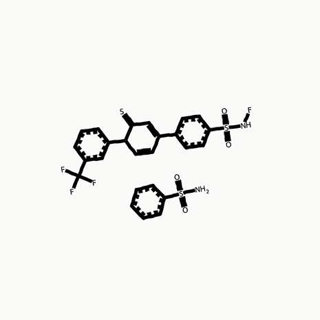 NS(=O)(=O)c1ccccc1.O=S(=O)(NF)c1ccc(C2=CC(=S)C(c3cccc(C(F)(F)F)c3)C=C2)cc1